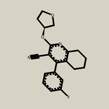 N#Cc1c(O[C@H]2CCOC2)nc2c(c1-c1cccc(F)c1)CCCC2